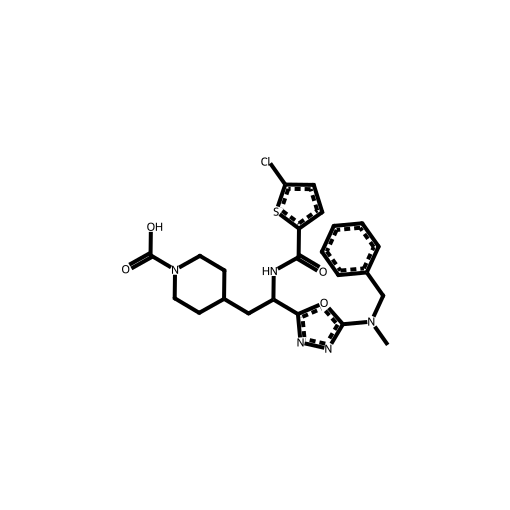 CN(Cc1ccccc1)c1nnc(C(CC2CCN(C(=O)O)CC2)NC(=O)c2ccc(Cl)s2)o1